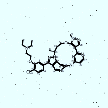 CCN(CC)CCOc1cc(-c2nn3c4cc(ncc24)Nc2ccnc(n2)-c2cnn(C)c2OCC[C@@H]3C)ccc1Cl